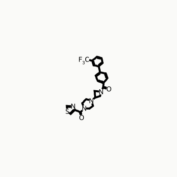 O=C(c1ccc(-c2cccc(C(F)(F)F)c2)cc1)N1CC(N2CCN(C(=O)c3cscn3)CC2)C1